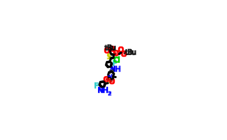 CC(C)(C)OC(=O)COc1c(C(=O)OC(C)(C)C)sc(-c2cccc(N[C@@H]3CCN(S(=O)(=O)Cc4ccc(F)c(N)c4)C(C)(C)C3)c2F)c1Cl